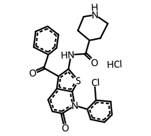 Cl.O=C(c1ccccc1)c1c(NC(=O)C2CCNCC2)sc2c1ccc(=O)n2-c1ccccc1Cl